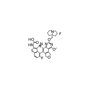 COc1nc(OC[C@@]23CCCN2C[C@H](F)C3)nc2c(F)c(-c3c(F)ccc4sc(NC(=O)O)c(C#N)c34)c3c(c12)COC3